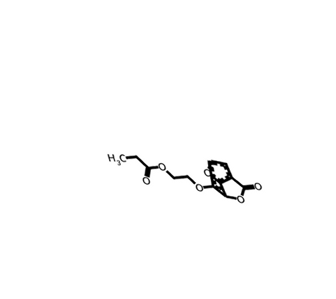 CCC(=O)OCCOc1c2c3oc1cc3C(=O)O2